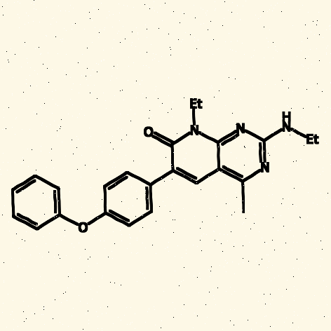 CCNc1nc(I)c2cc(-c3ccc(Oc4ccccc4)cc3)c(=O)n(CC)c2n1